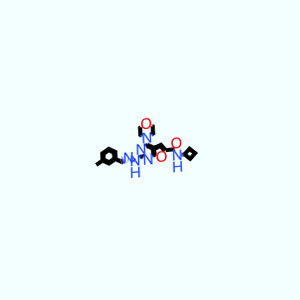 Cc1cccc(/C=N/Nc2nc(N3CCOCC3)c3cc(C(=O)NC4CCC4)oc3n2)c1